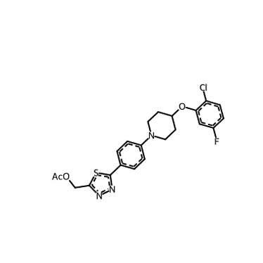 CC(=O)OCc1nnc(-c2ccc(N3CCC(Oc4cc(F)ccc4Cl)CC3)cc2)s1